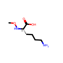 CON[C@@H](CCCCN)C(=O)O